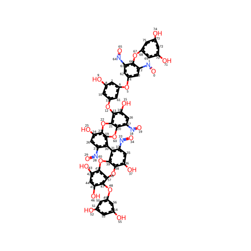 O=Nc1cc(Oc2cc(O)cc(Oc3c(O)cc(N=O)c4c3Oc3c(O)cc(N=O)c(-c5c(N=O)cc(O)c6c5Oc5c(O)cc(O)c(Oc7cc(O)cc(O)c7)c5O6)c3O4)c2)cc(N=O)c1Oc1cc(O)cc(O)c1